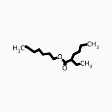 CCCCCCCOC(=O)C(CC)CCCC